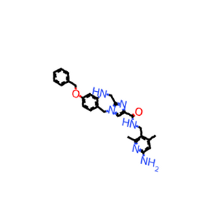 Cc1cc(N)nc(C)c1CNC(=O)c1cn2c(n1)CNc1cc(OCc3ccccc3)ccc1C2